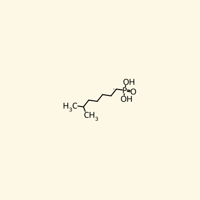 CC(C)CCCC[CH]P(=O)(O)O